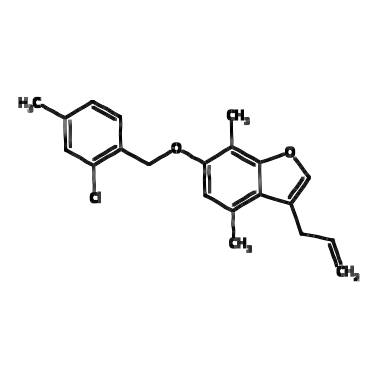 C=CCc1coc2c(C)c(OCc3ccc(C)cc3Cl)cc(C)c12